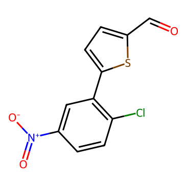 O=Cc1ccc(-c2cc([N+](=O)[O-])ccc2Cl)s1